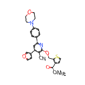 COC(=O)c1ccsc1COc1nc(-c2ccc(N3CCOCC3)cc2)cc(-c2ccoc2)c1C#N